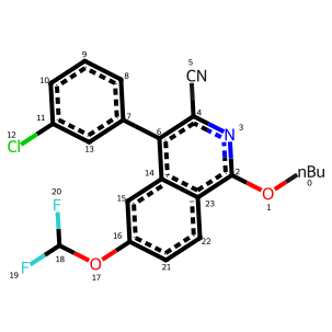 CCCCOc1nc(C#N)c(-c2cccc(Cl)c2)c2cc(OC(F)F)ccc12